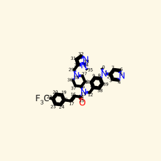 CN(c1ccncc1)c1ccc(CN(C(=O)C=Cc2ccc(C(F)(F)F)cc2)C2CCN(Cc3ccnn3C)CC2)cc1